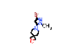 Cn1nc(Br)cc1N1CCC2(CC1)COC2